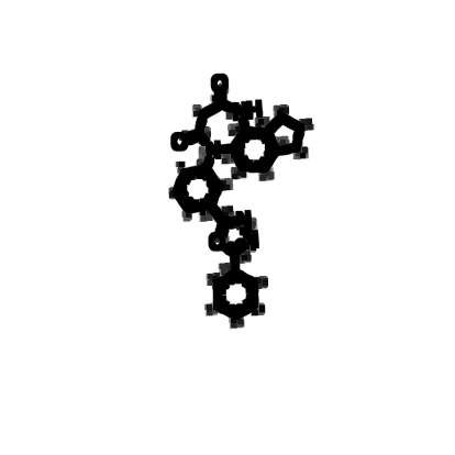 O=C1CC(=O)N(c2cccc(-c3nnc(-c4ccccc4)o3)c2)c2ccc3c(c2N1)CCC3